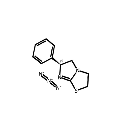 [N-]=[N+]=[N-].c1ccc([C@H]2CN3CCSC3=N2)cc1